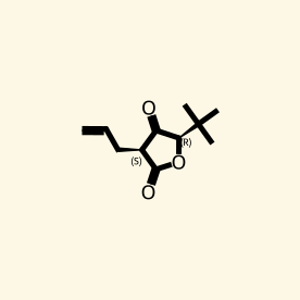 C=CC[C@@H]1C(=O)O[C@H](C(C)(C)C)C1=O